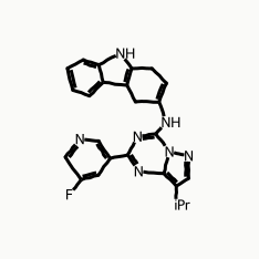 CC(C)c1cnn2c(NC3=CCc4[nH]c5ccccc5c4C3)nc(-c3cncc(F)c3)nc12